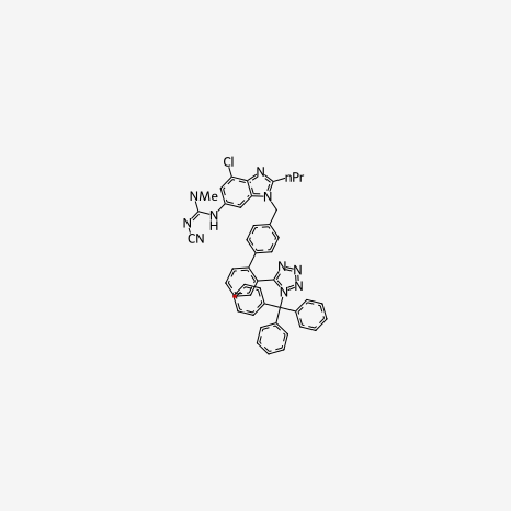 CCCc1nc2c(Cl)cc(N/C(=N\C#N)NC)cc2n1Cc1ccc(-c2ccccc2-c2nnnn2C(c2ccccc2)(c2ccccc2)c2ccccc2)cc1